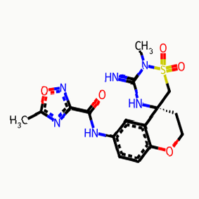 Cc1nc(C(=O)Nc2ccc3c(c2)[C@]2(CCO3)CS(=O)(=O)N(C)C(=N)N2)no1